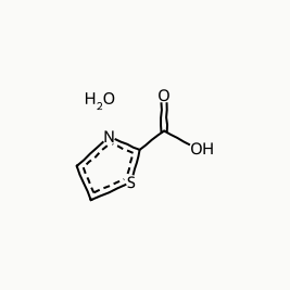 O.O=C(O)c1nccs1